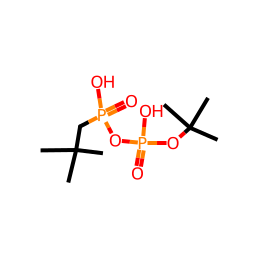 CC(C)(C)CP(=O)(O)OP(=O)(O)OC(C)(C)C